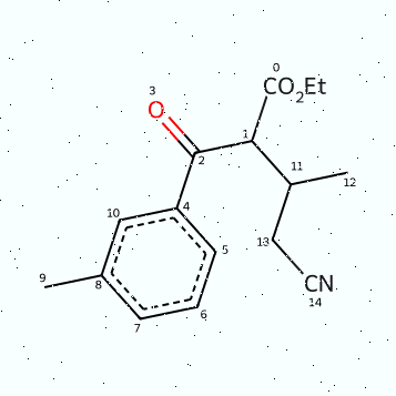 CCOC(=O)C(C(=O)c1cccc(C)c1)C(C)CC#N